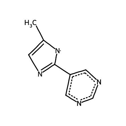 CC1=CN=C(c2cncnc2)[N]1